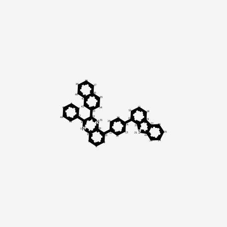 c1ccc(-c2nc3cccc(-c4ccc(-c5cccc6c5sc5ccccc56)cc4)c3nc2-c2ccc3ccccc3c2)cc1